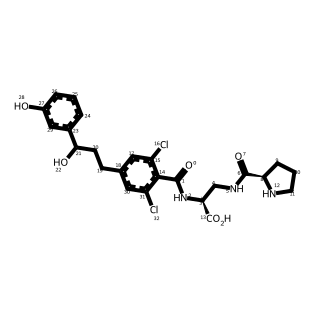 O=C(N[C@@H](CNC(=O)[C@H]1CCCN1)C(=O)O)c1c(Cl)cc(CCC(O)c2cccc(O)c2)cc1Cl